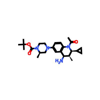 CC(=O)N1c2ccc(N3CCN(C(=O)OC(C)(C)C)[C@H](C)C3)cc2[C@H](N)[C@@H](C)[C@@H]1C1CC1